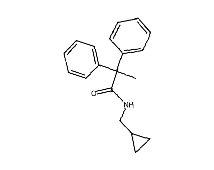 CC(C(=O)NCC1CC1)(c1ccccc1)c1ccccc1